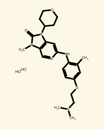 Cc1cc(OCCN(C)C)ccc1Nc1cc2c(cn1)n(C)c(=O)n2C1CCOCC1.Cl.Cl